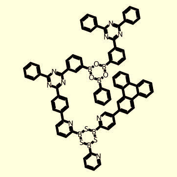 c1ccc(B2OB(c3cccc(-c4nc(-c5ccccc5)nc(-c5ccccc5)n4)c3)OB(c3cccc(-c4nc(-c5ccccc5)nc(-c5ccc(-c6cccc(B7SB(c8ccccn8)SB(c8ccc(-c9ccc%10c%11ccccc%11c%11ccccc%11c%10c9)cn8)S7)n6)cc5)n4)c3)O2)cc1